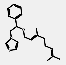 CC(C)=CCC/C(C)=C/COC(Cn1ccnc1)c1ccccc1